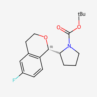 CC(C)(C)OC(=O)N1CCCC1[C@H]1OCCc2cc(F)ccc21